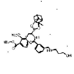 COc1c(CC(NC(=O)c2cccc(CNCCCO)c2)B2OC3CC4CC(C4(C)C)C3(C)O2)cccc1C(=O)OC(C)(C)C